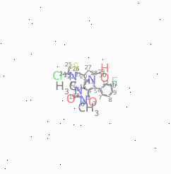 Cn1c(=O)c2c(-c3cccc(F)c3)n3c(c2n(C)c1=O)C(c1nc(Cl)cs1)CC3CO